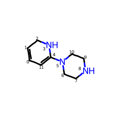 C1=CCNC(N2CCNCC2)=C1